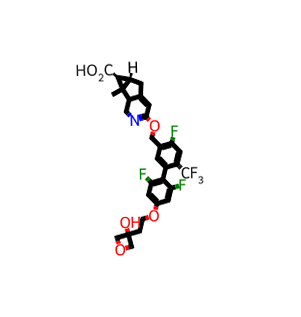 CC12C3CN=C(OCc4cc(-c5c(F)cc(OCCC6(O)COC6)cc5F)c(C(F)(F)F)cc4F)C=C3C[C@H]1[C@@H]2C(=O)O